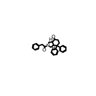 O=C1CCC(c2ccccc2)(c2ccccc2)[C@@H]2CN(C(=O)Cc3ccccc3)C[C@H]12